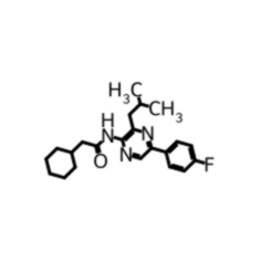 CC(C)Cc1nc(-c2ccc(F)cc2)cnc1NC(=O)CC1CCCCC1